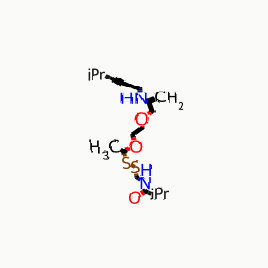 C=C(COCCOC(C)SSCNC(=O)C(C)C)NCC#CC(C)C